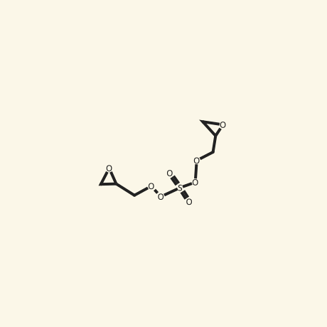 O=S(=O)(OOCC1CO1)OOCC1CO1